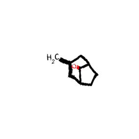 C=C1CC2CCC(C1)C2=O